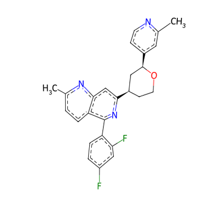 Cc1cc([C@@H]2C[C@H](c3cc4nc(C)ccc4c(-c4ccc(F)cc4F)n3)CCO2)ccn1